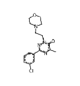 Cc1nc(-c2cccc(Cl)c2)nn(CCN2CCOCC2)c1=O